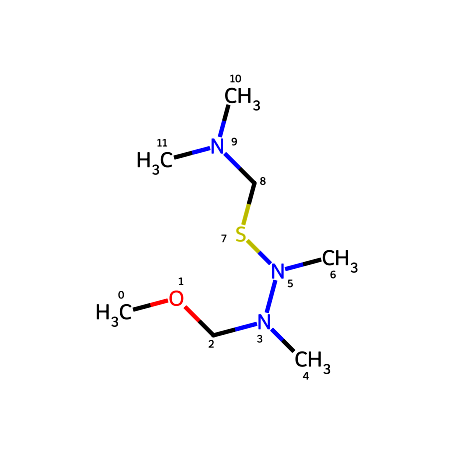 COCN(C)N(C)SCN(C)C